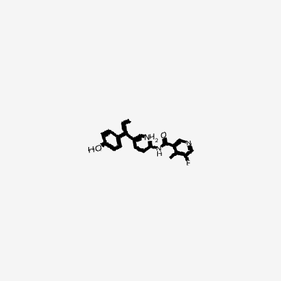 C=C(\C=C/C(=C\N)C(=C\C)/c1ccc(O)cc1)NC(=O)c1cncc(F)c1C